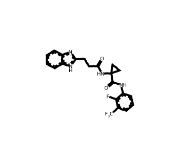 O=C(CCc1nc2ccccc2[nH]1)NC1(C(=O)Nc2cccc(C(F)(F)F)c2F)CC1